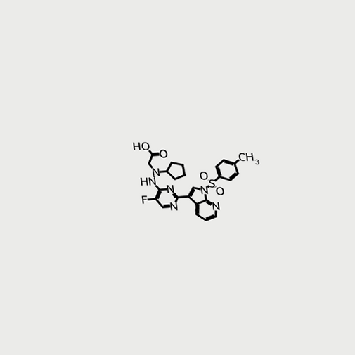 Cc1ccc(S(=O)(=O)n2cc(-c3ncc(F)c(NN(CC(=O)O)C4CCCC4)n3)c3cccnc32)cc1